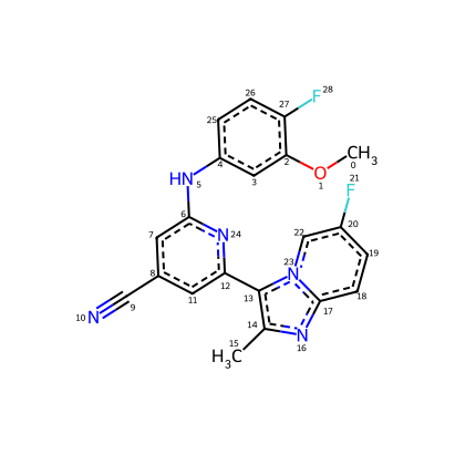 COc1cc(Nc2cc(C#N)cc(-c3c(C)nc4ccc(F)cn34)n2)ccc1F